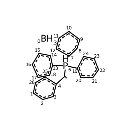 B.c1ccc(C[PH](c2ccccc2)(c2ccccc2)c2ccccc2)cc1